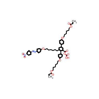 C=CC(=O)OCCCCCCOc1ccc(-c2cc(CCCCCCCOc3ccc(N=Nc4ccc([N+](=O)[O-])cc4)cc3)c(-c3ccc(OCCCCCCOC(=O)C=C)cc3)c(C(=O)OC(=O)O)c2)cc1